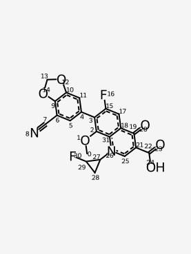 COc1c(-c2cc(C#N)c3c(c2)OCO3)c(F)cc2c(=O)c(C(=O)O)cn(C3CC3F)c12